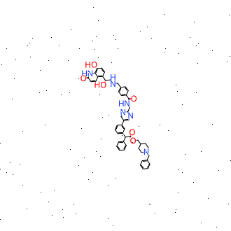 O=C(NCc1ncc(-c2cccc(C(C(=O)OCC3CCN(Cc4ccccc4)CC3)c3ccccc3)c2)cn1)c1ccc(CNCC(O)c2ccc(O)c3[nH]c(=O)ccc23)cc1